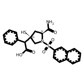 NC(=O)[C@@H]1C[C@](S)(C(C(=O)O)c2ccccc2)CN1S(=O)(=O)c1ccc2ccccc2c1